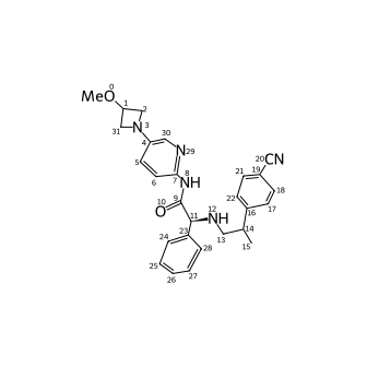 COC1CN(c2ccc(NC(=O)[C@@H](NCC(C)c3ccc(C#N)cc3)c3ccccc3)nc2)C1